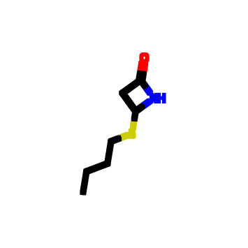 CCCCSC1CC(=O)N1